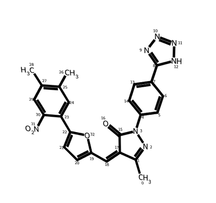 CC1=NN(c2ccc(-c3nnn[nH]3)cc2)C(=O)C1=Cc1ccc(-c2cc(C)c(C)cc2[N+](=O)[O-])o1